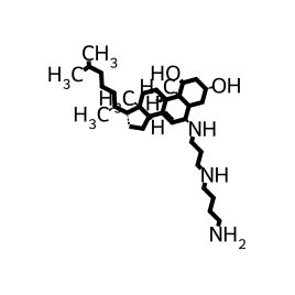 CC(C)CCC[C@@H](C)[C@H]1CC[C@H]2C3=C[C@@H](NCCCNCCCCN)C4C[C@@H](O)CC(O)[C@]4(C)[C@H]3CC[C@]12C